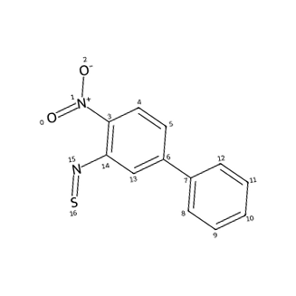 O=[N+]([O-])c1ccc(-c2ccccc2)cc1N=S